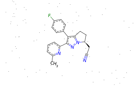 Cc1cccc(-c2nn3c(c2-c2ccc(F)cc2)CC[C@H]3CC#N)n1